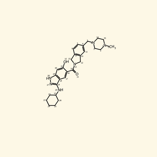 CN1CCN(Cc2ccc3c(c2)CN(C(=O)c2cc4c(NC5CCCCC5)n[nH]c4cc2O)C3)CC1